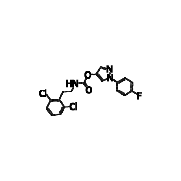 O=C(NCCc1c(Cl)cccc1Cl)Oc1cnn(-c2ccc(F)cc2)c1